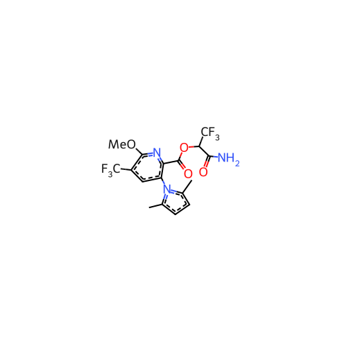 COc1nc(C(=O)OC(C(N)=O)C(F)(F)F)c(-n2c(C)ccc2C)cc1C(F)(F)F